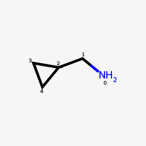 NC[C]1CC1